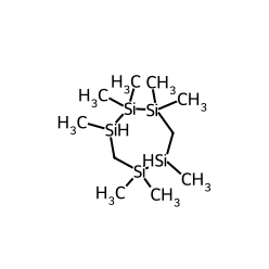 C[SiH]1C[Si](C)(C)[Si](C)(C)[SiH](C)C[Si]1(C)C